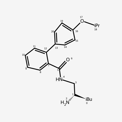 CC[C@H](C)[C@H](N)CNC(=O)c1c[c]ccc1-c1ccc(OC(C)C)cc1